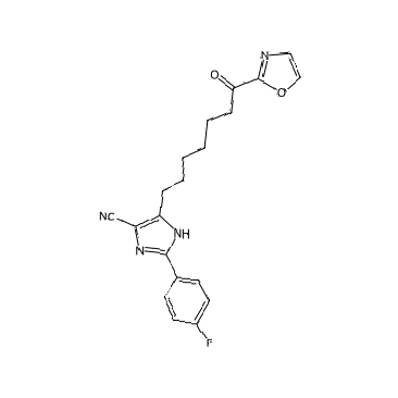 N#Cc1nc(-c2ccc(F)cc2)[nH]c1CCCCCCC(=O)c1ncco1